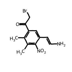 Cc1c(C(=O)CBr)cc(C=CN)c([N+](=O)[O-])c1C